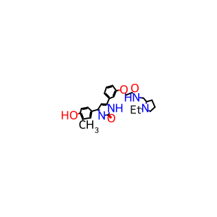 CCN1CCCC1CNC(=O)COc1cccc(-c2cc(-c3ccc(O)c(C)c3)nc(=O)[nH]2)c1